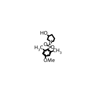 COc1cc(C)c(S(=O)(=O)N2CCCC(O)C2)c(C)c1